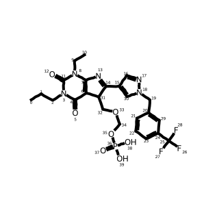 CCCn1c(=O)c2c(n(CC)c1=O)N=C(c1cnn(Cc3cccc(C(F)(F)F)c3)c1)C2COCOP(=O)(O)O